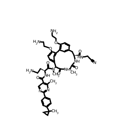 Cc1nc(-c2ccc(C3(C)CC3)cc2)ncc1C(=O)N[C@@H](CCN)C(=O)N(C)[C@@H]1C(=O)N[C@@H](C)C(=O)N[C@H](C(=O)NCC#N)Cc2ccc(OCCN)c(c2)-c2cc1ccc2OCCN